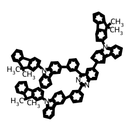 CC1(C)c2ccccc2-c2ccc(-n3c4ccccc4c4cc(-c5cccc(-c6nc(-c7cccc(-c8ccc9c(c8)c8ccccc8n9-c8ccc9c(c8)C(C)(C)c8ccccc8-9)c7)c7cc(-c8ccc9c(c8)c8ccccc8n9-c8ccc9c(c8)C(C)(C)c8ccccc8-9)ccc7n6)c5)ccc43)cc21